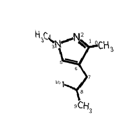 Cc1nn(C)cc1CC(C)I